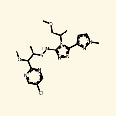 COCC(C)n1c(NSC(C)C(OC)c2ncc(Cl)cn2)nnc1-c1ccn(C)n1